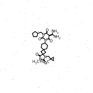 CN1C(=O)N(CC2(C(=O)O)CC2)C2(CC3(CCC(N4C(=O)C(=C(N)N)C(=O)N(CC5CCCC5)C4=O)CC3)C2)C1=O